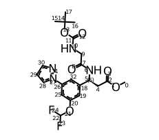 COC(=O)C[C@H](NC(=O)CNC(=O)OC(C)(C)C)c1cc(OC(F)F)cc(-n2cccn2)c1